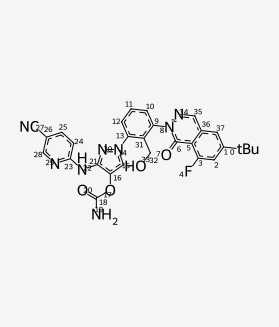 CC(C)(C)c1cc(F)c2c(=O)n(-c3cccc(-n4cc(OC(N)=O)c(Nc5ccc(C#N)cn5)n4)c3CO)ncc2c1